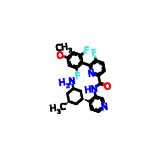 COc1cc(F)c(-c2nc(C(=O)Nc3cnccc3[C@@H]3C[C@H](C)C[C@@H](N)C3)ccc2F)c(F)c1